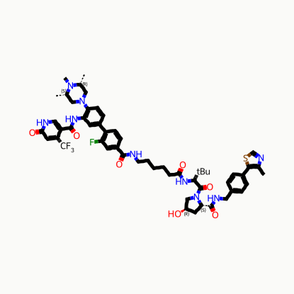 Cc1ncsc1-c1ccc(CNC(=O)[C@@H]2C[C@@H](O)CN2C(=O)C(NC(=O)CCCCCNC(=O)c2ccc(-c3ccc(N4C[C@@H](C)N(C)[C@@H](C)C4)c(NC(=O)c4c[nH]c(=O)cc4C(F)(F)F)c3)c(F)c2)C(C)(C)C)cc1